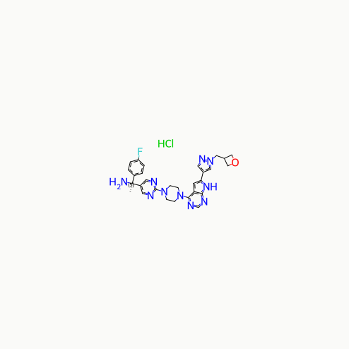 C[C@](N)(c1ccc(F)cc1)c1cnc(N2CCN(c3ncnc4[nH]c(-c5cnn(CC6COC6)c5)cc34)CC2)nc1.Cl